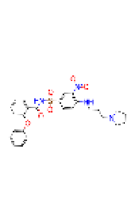 O=C(NS(=O)(=O)c1ccc(NCCCN2CCCC2)c([N+](=O)[O-])c1)c1ccccc1Oc1ccccc1